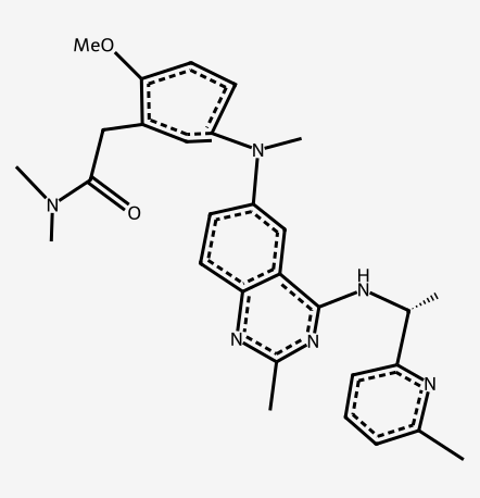 COc1ccc(N(C)c2ccc3nc(C)nc(N[C@H](C)c4cccc(C)n4)c3c2)cc1CC(=O)N(C)C